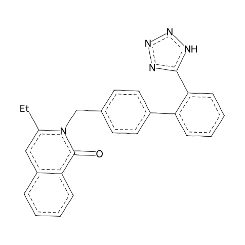 CCc1cc2ccccc2c(=O)n1Cc1ccc(-c2ccccc2-c2nnn[nH]2)cc1